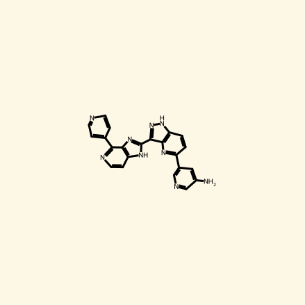 Nc1cncc(-c2ccc3[nH]nc(-c4nc5c(-c6ccncc6)nccc5[nH]4)c3n2)c1